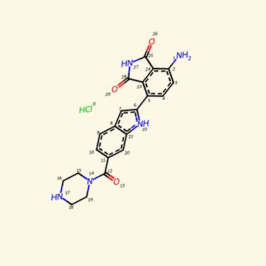 Cl.Nc1ccc(-c2cc3ccc(C(=O)N4CCNCC4)cc3[nH]2)c2c1C(=O)NC2=O